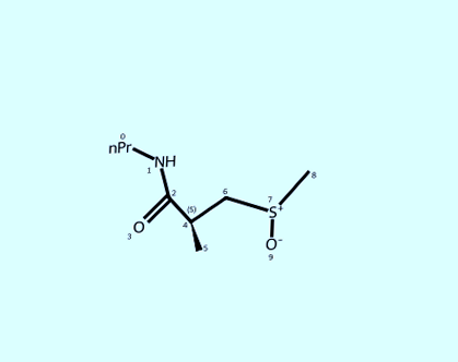 CCCNC(=O)[C@H](C)C[S+](C)[O-]